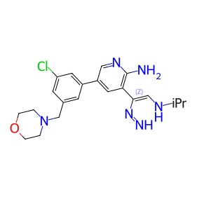 CC(C)N/C=C(\N=N)c1cc(-c2cc(Cl)cc(CN3CCOCC3)c2)cnc1N